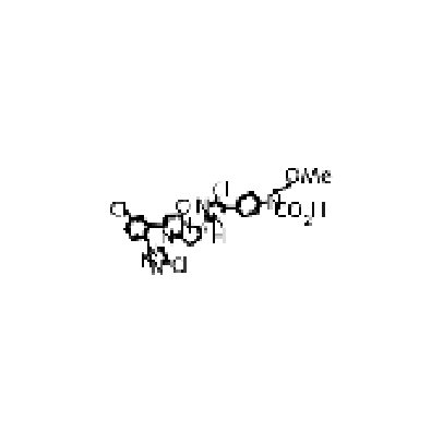 COCCN(C(=O)O)c1ccc(-c2[nH]c([C@@H]3CCc4nc(-c5cc(Cl)ccc5-n5cc(Cl)nn5)cc(=O)n43)nc2Cl)cc1